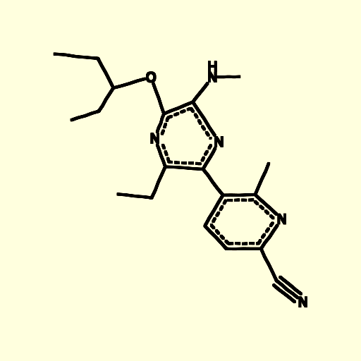 CCc1nc(OC(CC)CC)c(NC)nc1-c1ccc(C#N)nc1C